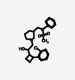 CS(=O)(=O)N(CC1CCCN(CC(O)C2CCC2c2ccccc2Cl)C1)c1ccccc1